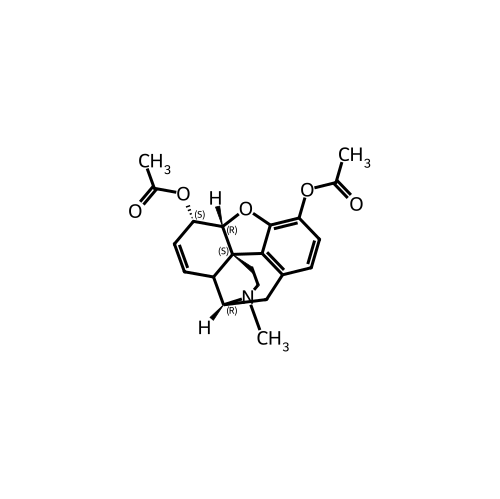 CC(=O)Oc1ccc2c3c1O[C@H]1[C@@H](OC(C)=O)C=CC4[C@@H](C2)N(C)CC[C@@]341